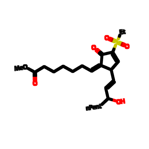 CCCCCC(O)C=CC1C=C(S(=O)(=O)CC)C(=O)C1=CCCCCCC(=O)OC